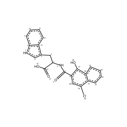 O=C(NC(Cc1c[nH]c2ccccc12)C(=O)O)c1nc(Cl)c2ccccc2c1O